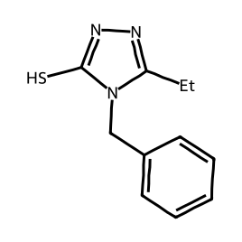 CCc1nnc(S)n1Cc1ccccc1